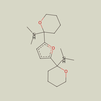 C[SiH](C)C1(c2ccc(C3([SiH](C)C)CCCCO3)o2)CCCCO1